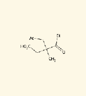 CCC(=O)C(C)(CC(C)=O)CC(=O)O